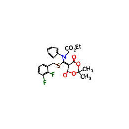 CCOC(=O)CN(C(SCc1cccc(F)c1F)=C1C(=O)OC(C)(C)OC1=O)c1ccccc1